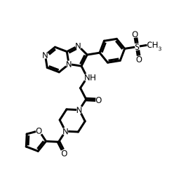 CS(=O)(=O)c1ccc(-c2nc3cnccn3c2NCC(=O)N2CCN(C(=O)c3ccco3)CC2)cc1